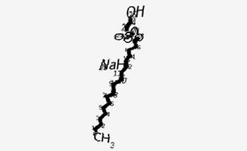 CCCCCCCCCCCCCCCCCC(=O)OS(=O)(=O)CCO.[NaH]